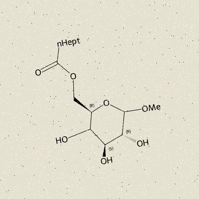 CCCCCCCC(=O)OC[C@H]1OC(OC)[C@H](O)[C@@H](O)C1O